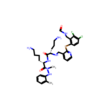 Cc1ccccc1NN(C)C(=O)[C@H](CCCCN)NC(=O)[C@H](CCCN)NCc1cccnc1Sc1ccc(Cl)c(F)c1CNC=O